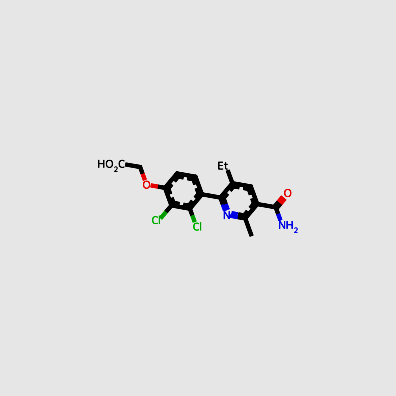 CCc1cc(C(N)=O)c(C)nc1-c1ccc(OCC(=O)O)c(Cl)c1Cl